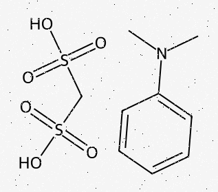 CN(C)c1ccccc1.O=S(=O)(O)CS(=O)(=O)O